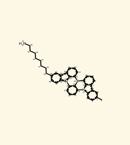 Cc1ccc2c(c1)c1cccc3c1n2-c1cccc2c1B3c1cccc3c4cc(CCCCCCCCN)ccc4n-2c13